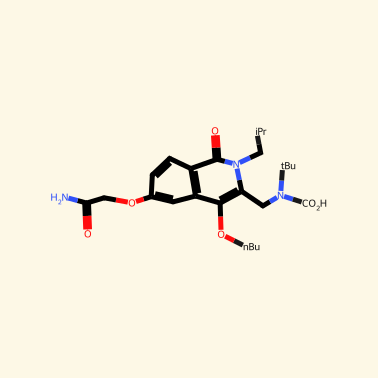 CCCCOc1c(CN(C(=O)O)C(C)(C)C)n(CC(C)C)c(=O)c2ccc(OCC(N)=O)cc12